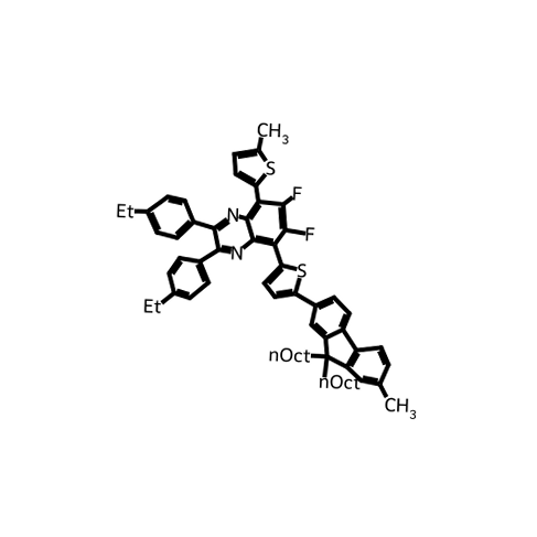 CCCCCCCCC1(CCCCCCCC)c2cc(C)ccc2-c2ccc(-c3ccc(-c4c(F)c(F)c(-c5ccc(C)s5)c5nc(-c6ccc(CC)cc6)c(-c6ccc(CC)cc6)nc45)s3)cc21